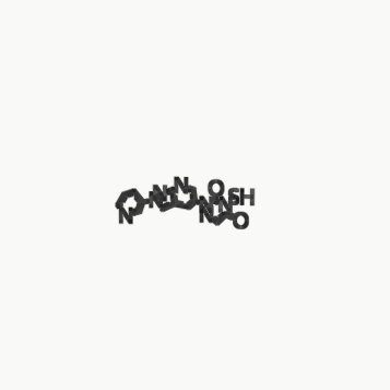 O=c1cnn(-c2cnc3nn(-c4cccnc4)cc3c2)c(=O)n1S